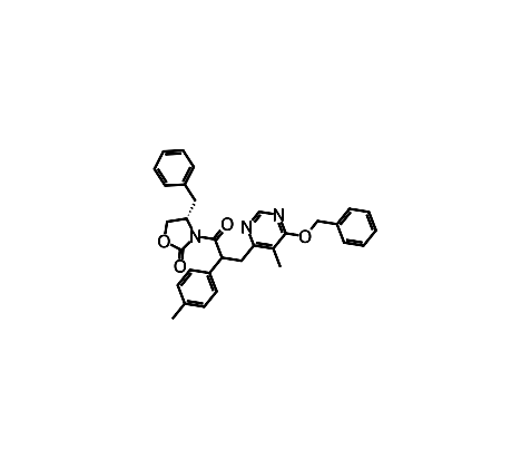 Cc1ccc(C(Cc2ncnc(OCc3ccccc3)c2C)C(=O)N2C(=O)OC[C@@H]2Cc2ccccc2)cc1